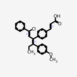 CC/C(=C(\C=C(/Cl)c1ccccc1)c1ccc(/C=C/C(=O)O)cc1)c1ccc(OC)cc1